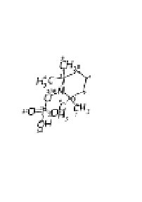 CC1(C)CCCC(C)(C)N1OP(=O)(O)O